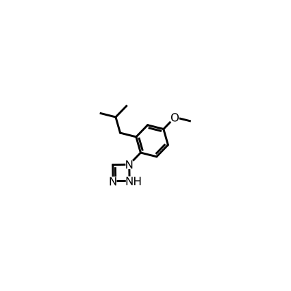 COc1ccc(-n2cn[nH]2)c(CC(C)C)c1